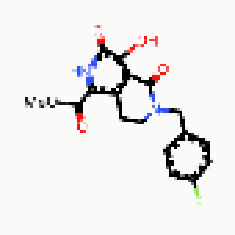 COC(=O)c1[nH]c(=O)c(O)c2c1CCN(Cc1ccc(F)cc1)C2=O